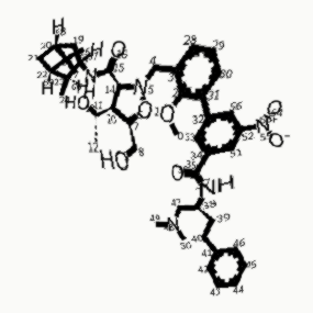 COc1c(CN2O[C@@H](CO)[C@@H]([C@H](C)O)[C@H]2C(=O)N[C@H]2C[C@H]3C[C@@H]([C@@H]2C)C3(C)C)cccc1-c1cc(C(=O)N[C@@H](CCc2ccccc2)CN(C)C)cc([N+](=O)[O-])c1